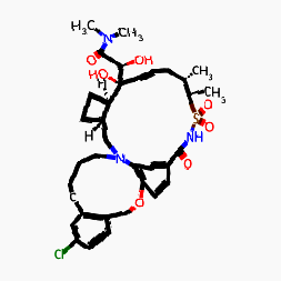 C[C@@H]1[C@@H](C)C/C=C/[C@@](O)([C@H](O)C(=O)N(C)C)[C@@H]2CC[C@H]2CN2CCCCc3cc(Cl)ccc3COc3ccc(cc32)C(=O)NS1(=O)=O